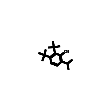 CC(C)c1ccc(C(C)(C)C)c(C(C)(C)C)c1O